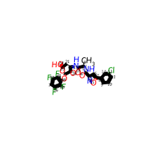 C[C@H](NC(=O)c1cc(-c2cccc(Cl)c2)on1)C(=O)N[C@@H](CC(=O)O)C(=O)COc1c(F)c(F)cc(F)c1F